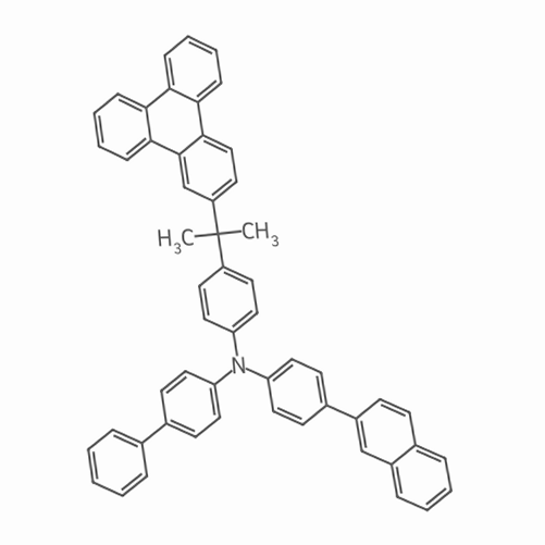 CC(C)(c1ccc(N(c2ccc(-c3ccccc3)cc2)c2ccc(-c3ccc4ccccc4c3)cc2)cc1)c1ccc2c3ccccc3c3ccccc3c2c1